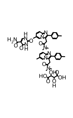 Cc1ccc(-c2nc3ccc(C)cn3c2CC(=O)N(C)C)cc1.Cc1ccc(-c2nc3ccc(C)cn3c2CC(=O)N(C)C)cc1.NC(=O)c1c[nH]c(=O)[nH]c1=O.O=C(O)C(O)C(O)C(=O)O